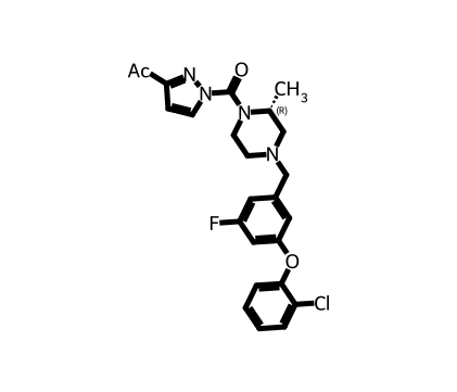 CC(=O)c1ccn(C(=O)N2CCN(Cc3cc(F)cc(Oc4ccccc4Cl)c3)C[C@H]2C)n1